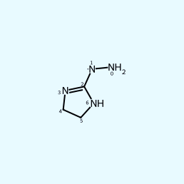 N[N]C1=NCCN1